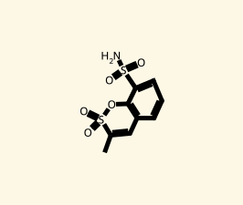 CC1=Cc2cccc(S(N)(=O)=O)c2OS1(=O)=O